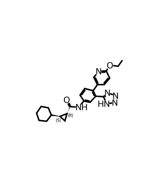 CCOc1ccc(-c2ccc(NC(=O)[C@@H]3C[C@H]3C3CCCCC3)cc2-c2nnn[nH]2)cn1